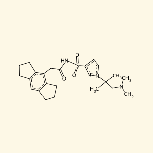 CN(C)CC(C)(C)n1ccc(S(=O)(=O)NC(=O)Cc2c3c(cc4c2CCC4)CCC3)n1